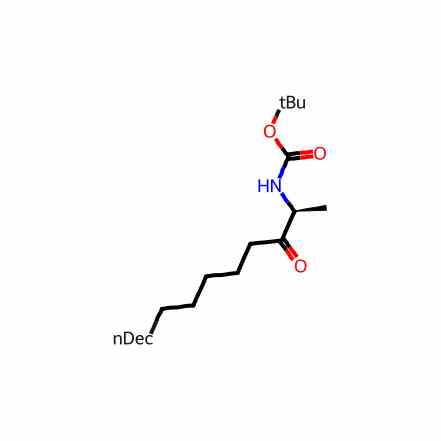 CCCCCCCCCCCCCCCC(=O)[C@H](C)NC(=O)OC(C)(C)C